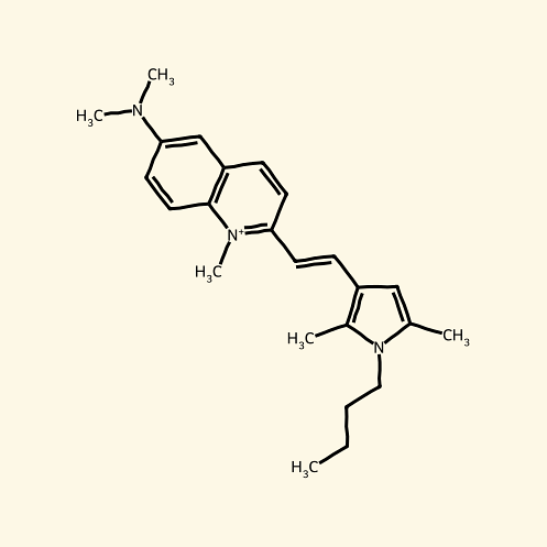 CCCCn1c(C)cc(/C=C/c2ccc3cc(N(C)C)ccc3[n+]2C)c1C